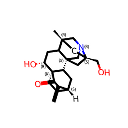 C=C1C(=O)[C@]23CC[C@H]1CC2[C@]12C[N@]4C[C@](C)(C[C@@]4(CO)C1)C2C[C@H]3O